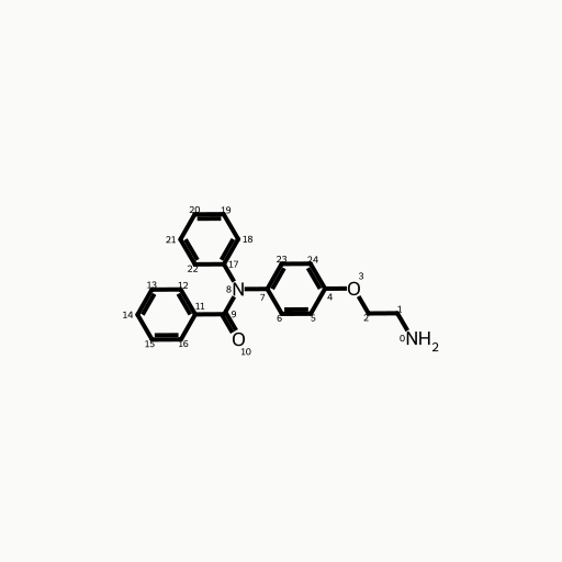 NCCOc1ccc(N(C(=O)c2ccccc2)c2ccccc2)cc1